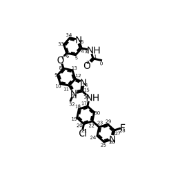 CC(=O)Nc1cc(Oc2ccc3c(c2)nc(Nc2ccc(Cl)c(-c4ccnc(F)c4)c2)n3C)ccn1